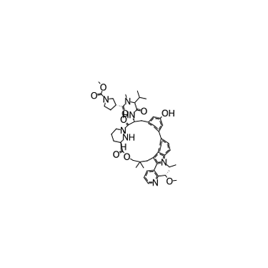 CCn1c(-c2cccnc2[C@H](C)OC)c2c3cc(ccc31)-c1cc(O)cc(c1)C[C@H](NC(=O)C(C(C)C)N(C)C(=O)[C@@H]1CCN(C(=O)OC)C1)C(=O)N1CCC[C@H](N1)C(=O)OCC(C)(C)C2